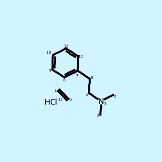 C=C.CN(C)CCc1ccccc1.Cl